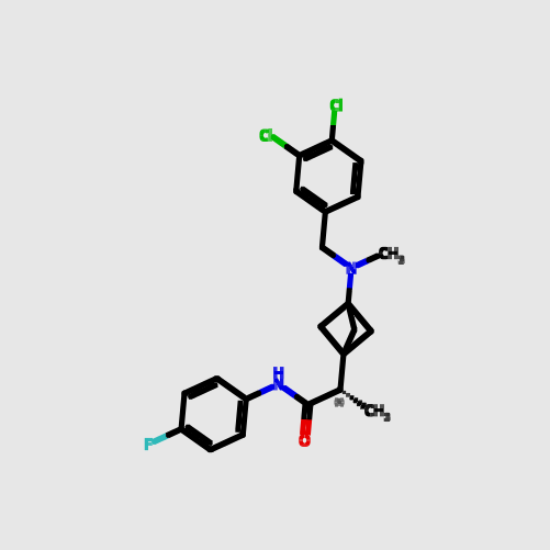 C[C@H](C(=O)Nc1ccc(F)cc1)C12CC(N(C)Cc3ccc(Cl)c(Cl)c3)(C1)C2